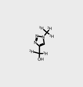 [2H]C([2H])(O)c1cn(C([2H])([2H])[2H])nn1